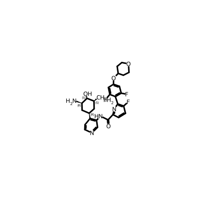 C[C@H]1C[C@@H](c2ccncc2NC(=O)c2ccc(F)c(-c3c(F)cc(OC4CCOCC4)cc3P)n2)C[C@@H](N)[C@H]1O